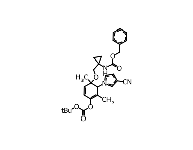 CC1=C(OC(=O)OC(C)(C)C)C=CC(C)(OCC2(NC(=O)OCc3ccccc3)CC2)C1n1ccc(C#N)c1